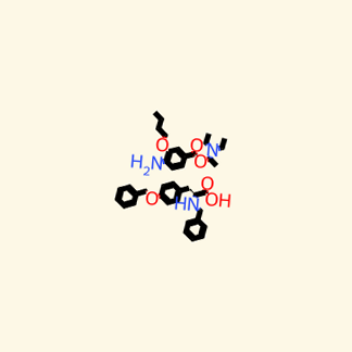 CCCCOc1cc(C(=O)OC(C)N(CC)CC)ccc1N.O=C(O)[C@@H](Cc1ccc(OCc2ccccc2)cc1)NCc1ccccc1